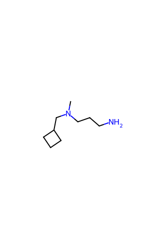 CN(CCCN)CC1CCC1